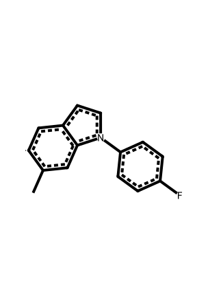 Cc1[c]cc2ccn(-c3ccc(F)cc3)c2c1